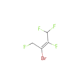 FC/C(Br)=C(/F)C(F)F